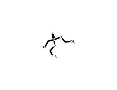 CCOP(=S)(CO)OCC